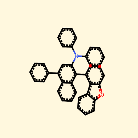 c1ccc(-c2cc(N(c3ccccc3)c3ccccc3)c(-c3cccc4oc5ccccc5c34)c3ccccc23)cc1